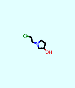 OC1CCN(CCCl)C1